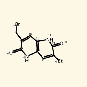 CCc1cc2[nH]c(=O)c(CBr)cc2[nH]c1=O